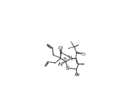 C=CCC1(CC=C)C(=O)N2C(C(=O)C(C)(C)C)=C(C)C(Br)S[C@@H]21